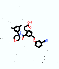 Cc1cc(C)cc(C2(NC(=O)c3cc(COc4cccc(C#N)c4)ccc3CCC(=O)O)CCOCC2)c1